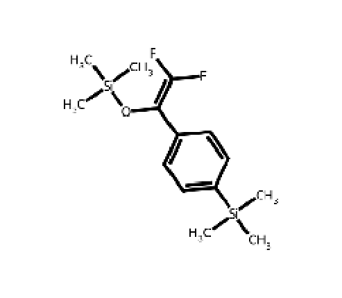 C[Si](C)(C)OC(=C(F)F)c1ccc([Si](C)(C)C)cc1